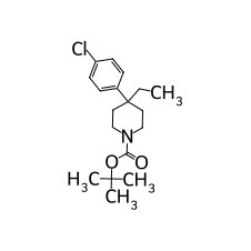 CCC1(c2ccc(Cl)cc2)CCN(C(=O)OC(C)(C)C)CC1